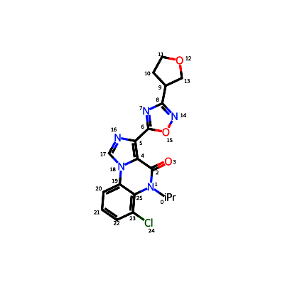 CC(C)n1c(=O)c2c(-c3nc(C4CCOC4)no3)ncn2c2cccc(Cl)c21